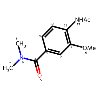 COc1cc(C(=O)N(C)C)ccc1NC(C)=O